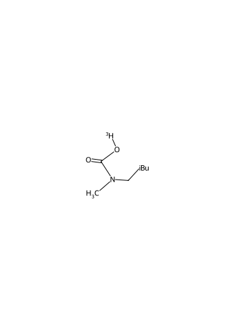 [3H]OC(=O)N(C)CC(C)CC